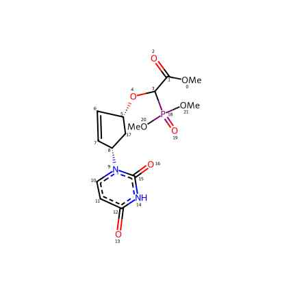 COC(=O)C(O[C@H]1C=C[C@@H](n2ccc(=O)[nH]c2=O)C1)P(=O)(OC)OC